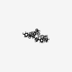 Cc1ccc(S(=O)(=O)n2cc(-c3nc(-c4cccc([C@]5(O)CCn6ccnc65)c4)cs3)c3cc(S(C)(=O)=O)cnc32)cc1